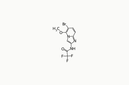 COc1c(Br)ccc2nc(NC(=O)C(F)(F)F)cn12